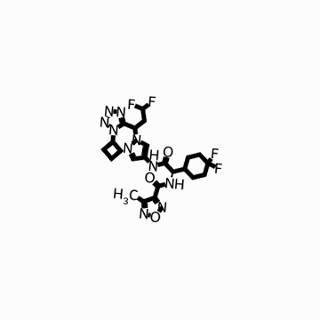 Cc1nonc1C(=O)N[C@H](C(=O)Nc1cnn(C(CC(F)F)c2nnnn2C2CCC2)c1)C1CCC(F)(F)CC1